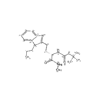 CCCn1c(CC[C@H](NC(=O)OC(C)(C)C)C(=O)NO)nc2ccccc21